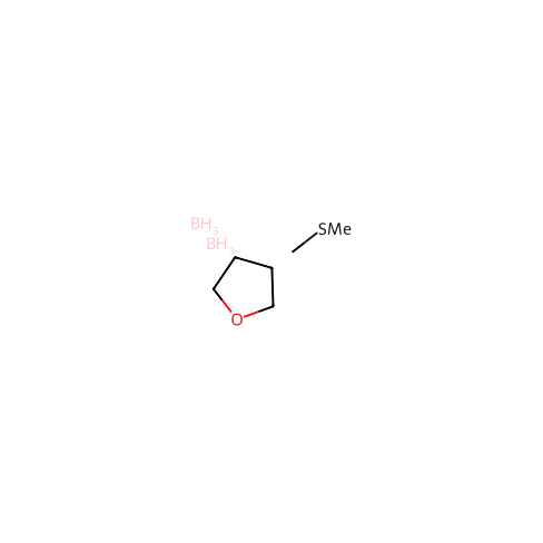 B.B.C1CCOC1.CSC